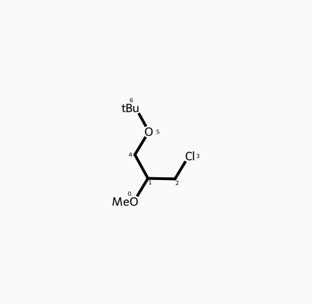 COC(CCl)COC(C)(C)C